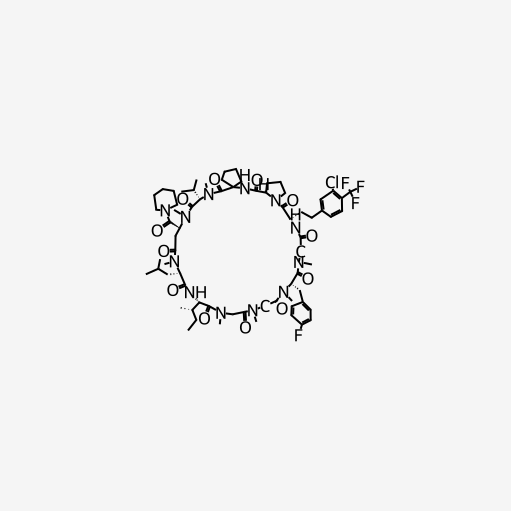 CC[C@H](C)[C@@H]1NC(=O)[C@H](CC(C)C)N(C)C(=O)C[C@@H](C(=O)N2CCCCC2)N(C)C(=O)[C@H](C(C)C)N(C)C(=O)C2(CCCC2)NC(=O)[C@@H]2CCCN2C(=O)[C@H](CCc2ccc(C(F)(F)F)c(Cl)c2)NC(=O)CN(C)C(=O)[C@H](Cc2ccc(F)cc2)N(C)C(=O)CN(C)C(=O)CN(C)C1=O